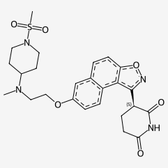 CN(CCOc1ccc2c(ccc3onc([C@@H]4CCC(=O)NC4=O)c32)c1)C1CCN(S(C)(=O)=O)CC1